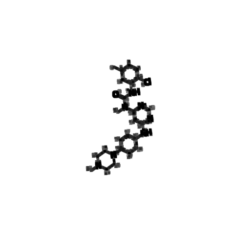 Cc1ccc(Cl)c(NC(=O)N(C)c2cc(Nc3ccc(N4CCN(C)CC4)cc3)ncn2)c1